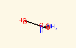 NS(=O)(=O)c1ccc(CCNC(=O)CCCCCCCCCCCCCCCCC(=O)O)cc1